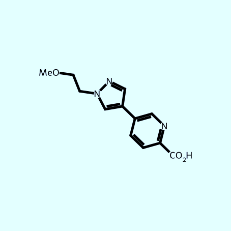 COCCn1cc(-c2ccc(C(=O)O)nc2)cn1